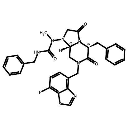 CN(C(=O)NCc1ccccc1)N1CC(=O)N2[C@@H](Cc3ccccc3)C(=O)N(Cc3ccc(F)c4scnc34)C[C@@H]21